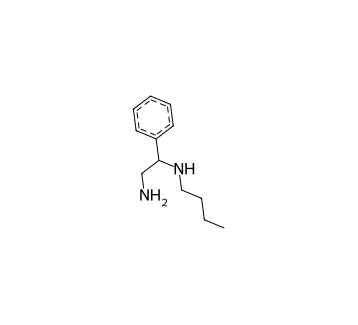 CCCCNC(CN)c1ccccc1